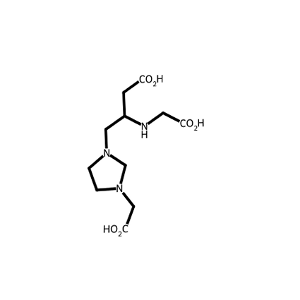 O=C(O)CNC(CC(=O)O)CN1CCN(CC(=O)O)C1